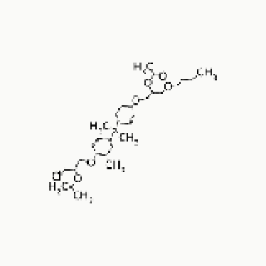 C=C(C)O[C@@H](CCl)COc1ccc(C(C)(C)c2ccc(OC[C@H](COCCCC)OC(C)=O)cc2)cc1C